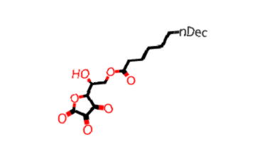 CCCCCCCCCCCCCCCC(=O)OCC(O)C1OC(=O)C(=O)C1=O